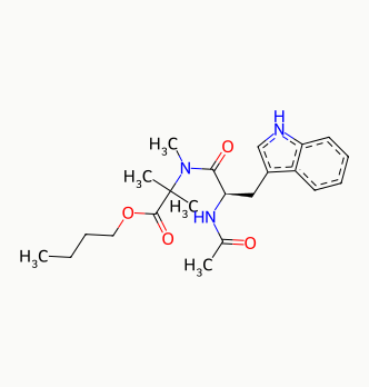 CCCCOC(=O)C(C)(C)N(C)C(=O)[C@@H](Cc1c[nH]c2ccccc12)NC(C)=O